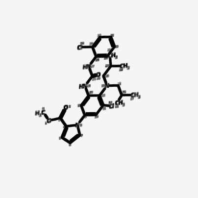 COC(=O)c1cccn1-c1cc(Cl)c(N(CC(C)C)CC(C)C)c(NC(=O)Nc2ccccc2Cl)c1